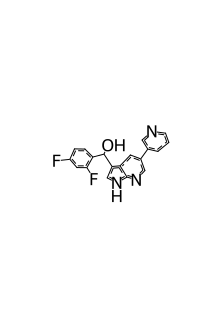 OC(c1ccc(F)cc1F)c1c[nH]c2ncc(-c3cccnc3)cc12